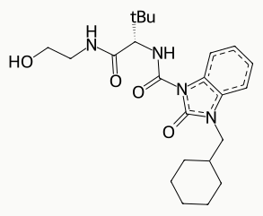 CC(C)(C)[C@H](NC(=O)n1c(=O)n(CC2CCCCC2)c2ccccc21)C(=O)NCCO